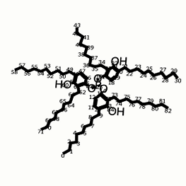 CCCCCCCCCCc1ccc(OP(Oc2ccc(CCCCCCCCCC)c(O)c2CCCCCCCCCC)Oc2ccc(CCCCCCCCCC)c(O)c2CCCCCCCCCC)c(CCCCCCCCCC)c1O